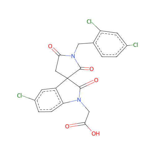 O=C(O)CN1C(=O)C2(CC(=O)N(Cc3ccc(Cl)cc3Cl)C2=O)c2cc(Cl)ccc21